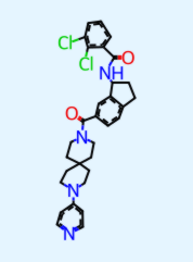 O=C(NC1CCc2ccc(C(=O)N3CCC4(CC3)CCN(c3ccncc3)CC4)cc21)c1cccc(Cl)c1Cl